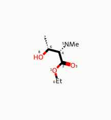 CCOC(=O)[C@@H](NC)[C@@H](C)O